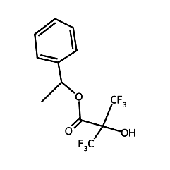 CC(OC(=O)C(O)(C(F)(F)F)C(F)(F)F)c1ccccc1